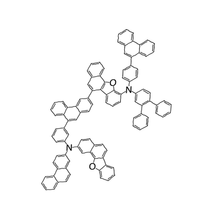 c1ccc(-c2ccc(N(c3ccc(-c4cc5ccccc5c5ccccc45)cc3)c3cccc4c3oc3c5ccccc5cc(-c5ccc6cc(-c7cccc(N(c8ccc9c(ccc%10ccccc%109)c8)c8ccc9ccc%10c%11ccccc%11oc%10c9c8)c7)c7ccccc7c6c5)c43)cc2-c2ccccc2)cc1